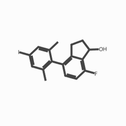 Cc1cc(I)cc(C)c1-c1ccc(F)c2c1CCC2O